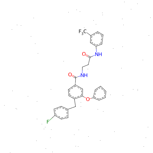 O=C(CCNC(=O)c1ccc(Cc2ccc(F)cc2)c(Oc2ccccc2)c1)Nc1cccc(C(F)(F)F)c1